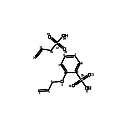 C=CCOc1ccccc1S(=O)(=O)O.C=CCS(=O)(=O)O